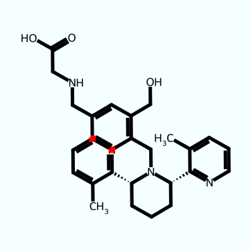 Cc1cccnc1[C@H]1CCC[C@@H](c2ncccc2C)N1Cc1ccc(CNCC(=O)O)cc1CO